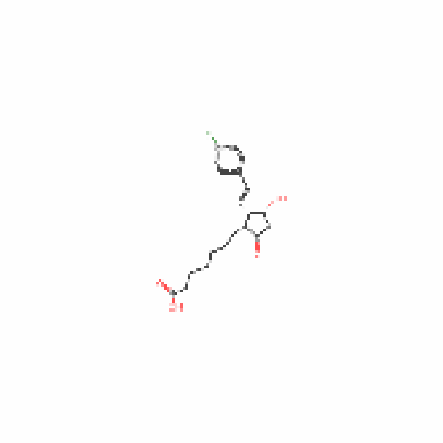 O=C(O)CCCCCC[C@@H]1C(=O)C[C@@H](O)[C@H]1C=Cc1ccc(Cl)cc1